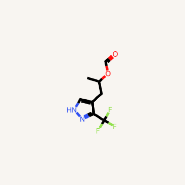 CC(Cc1c[nH]nc1C(F)(F)F)OC=O